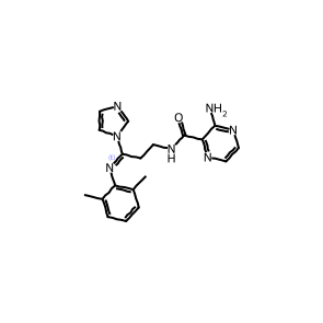 Cc1cccc(C)c1/N=C(\CCNC(=O)c1nccnc1N)n1ccnc1